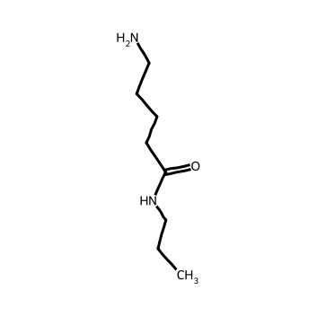 CCCNC(=O)CCCCN